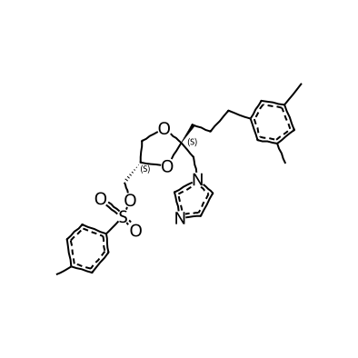 Cc1ccc(S(=O)(=O)OC[C@@H]2CO[C@](CCCc3cc(C)cc(C)c3)(Cn3ccnc3)O2)cc1